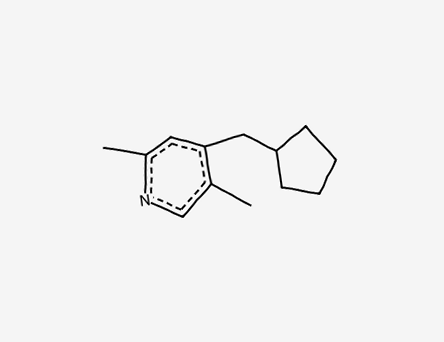 Cc1cc(CC2CCCC2)c(C)cn1